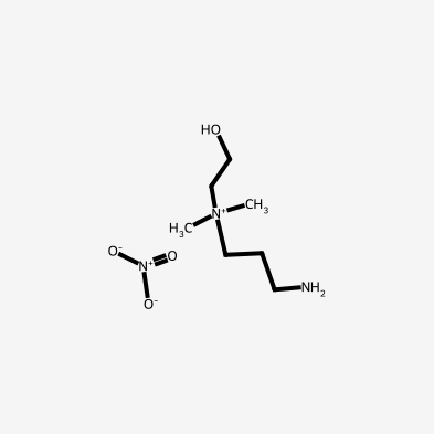 C[N+](C)(CCO)CCCN.O=[N+]([O-])[O-]